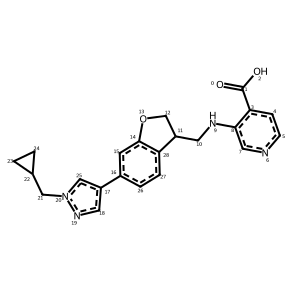 O=C(O)c1ccncc1NCC1COc2cc(-c3cnn(CC4CC4)c3)ccc21